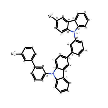 N#Cc1cccc(-c2cccc(-n3c4ccccc4c4cc(-c5cccc(-n6c7ccccc7c7cc(C#N)ccc76)c5)ccc43)c2)c1